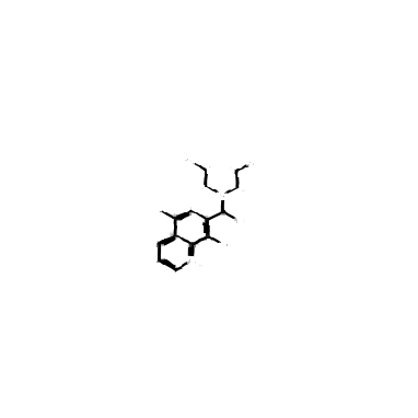 NC(c1cc(Cl)c2cccnc2c1N=O)N(CCN=O)CCN=O